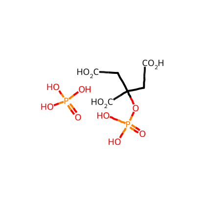 O=C(O)CC(CC(=O)O)(OP(=O)(O)O)C(=O)O.O=P(O)(O)O